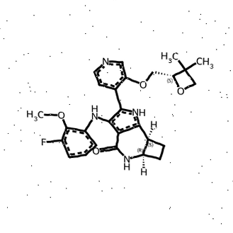 COc1c(F)cccc1Nc1c(-c2ccncc2OC[C@H]2OCC2(C)C)[nH]c2c1C(=O)N[C@@H]1CC[C@H]21